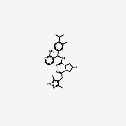 Cc1cc(C(NC(=O)[C@@H]2C[C@@H](F)CN2C(=O)Cc2c(C)nn(C)c2C)c2cccnc2N)ccc1C(C)C